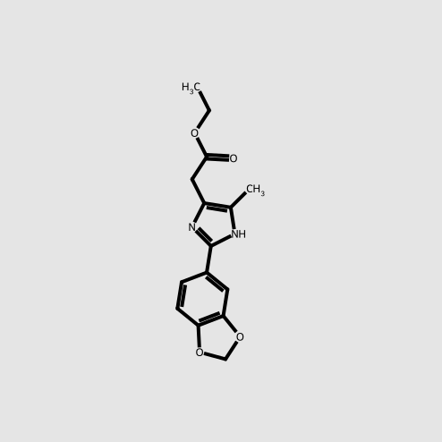 CCOC(=O)Cc1nc(-c2ccc3c(c2)OCO3)[nH]c1C